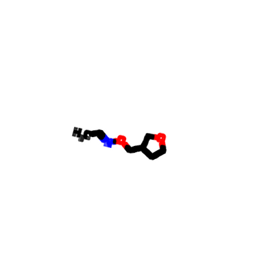 C/C=N/OCC1CCOC1